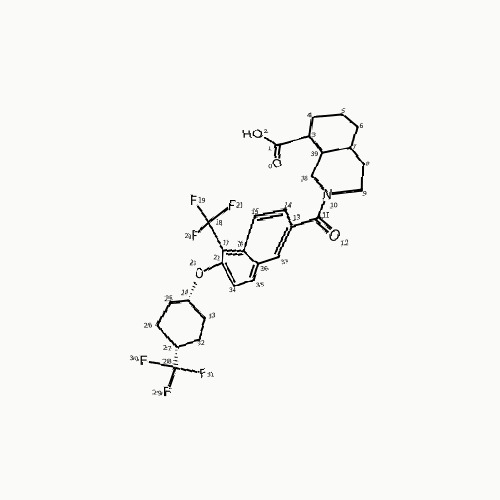 O=C(O)C1CCCC2CCN(C(=O)c3ccc4c(C(F)(F)F)c(O[C@H]5CC[C@@H](C(F)(F)F)CC5)ccc4c3)CC21